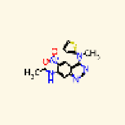 CCNc1cc2ncnc(N(C)c3cccs3)c2cc1[N+](=O)[O-]